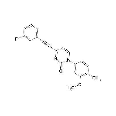 COc1cc(-n2ccc(C#Cc3cccc(F)c3)nc2=O)ccc1C